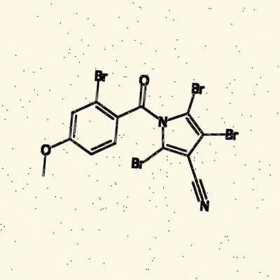 COc1ccc(C(=O)n2c(Br)c(Br)c(C#N)c2Br)c(Br)c1